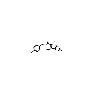 Cc1nc2c(s1)c1cnn(Cc3ccc(CO)cc3)c(=O)c1n2C